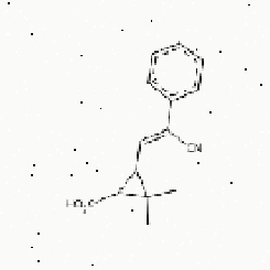 CC1(C)C(/C=C(\C#N)c2ccccc2)C1C(=O)O